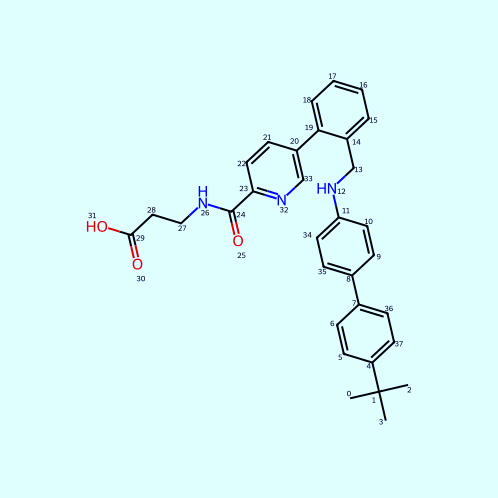 CC(C)(C)c1ccc(-c2ccc(NCc3ccccc3-c3ccc(C(=O)NCCC(=O)O)nc3)cc2)cc1